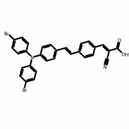 N#C/C(=C\c1ccc(/C=C/c2ccc(N(c3ccc(Br)cc3)c3ccc(Br)cc3)cc2)cc1)C(=O)O